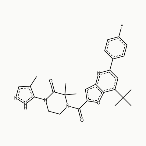 Cc1cn[nH]c1N1CCN(C(=O)c2cc3nc(-c4ccc(F)cc4)cc(C(C)(C)C)c3o2)C(C)(C)C1=O